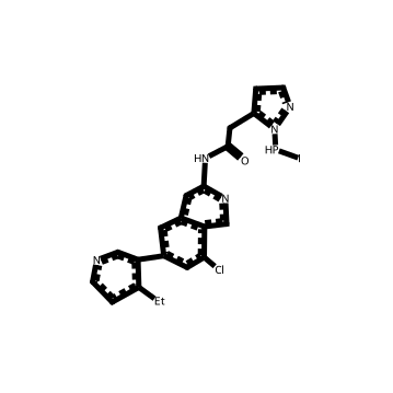 CCc1ccncc1-c1cc(Cl)c2cnc(NC(=O)Cc3ccnn3PI)cc2c1